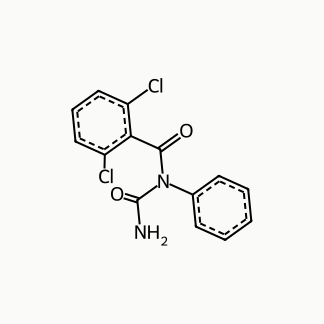 NC(=O)N(C(=O)c1c(Cl)cccc1Cl)c1ccccc1